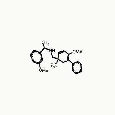 COC1=C(c2ccccc2)CC(CNC(C)c2cccc(OC)c2)(C(F)(F)F)C=C1